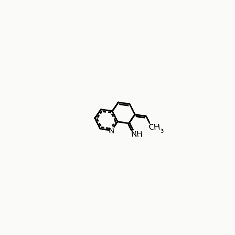 C/C=C1/C=Cc2cccnc2C1=N